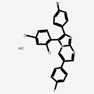 Cl.Fc1ccc(-c2cnc3nc(-c4ccc(Br)cc4)c(-c4ccc(Cl)cc4Cl)n3c2)cc1